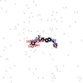 C/C(=C(/C#N)S(=O)(=O)NCC1OC(O)[C@H](C)[C@@H](O)[C@@H]1O)c1ccc(-c2ccc3cc(NCCN4CCOCC4)ccc3c2)o1